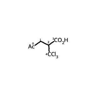 CC(=O)CC(C(=O)O)C(Cl)(Cl)Cl